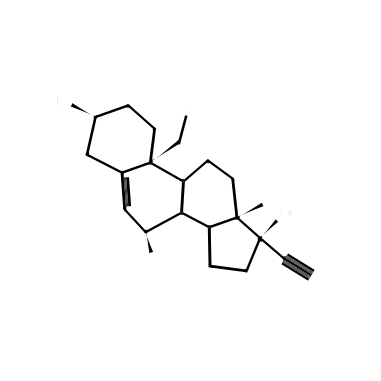 C#C[C@]1(O)CCC2C3C(CC[C@@]21C)[C@@]1(CO)CC[C@H](O)CC1=C[C@@H]3O